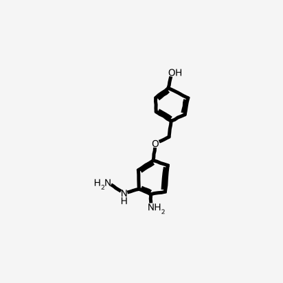 NNc1cc(OCc2ccc(O)cc2)ccc1N